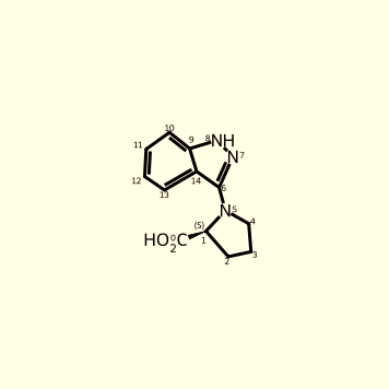 O=C(O)[C@@H]1CCCN1c1n[nH]c2ccccc12